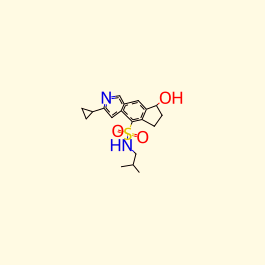 CC(C)CNS(=O)(=O)c1c2c(cc3cnc(C4CC4)cc13)C(O)CC2